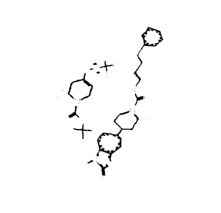 C[C@@H]1CC(OS(=O)(=O)C(F)(F)F)=CCN1C(=O)OC(C)(C)C.C[C@@H]1CC(c2ccc3c(c2)oc(=O)n3C)CCN1C(=O)NCCCCc1ccccc1